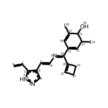 C=Cc1[nH]ncc1/C=C/N=C(/C1=CC(I)C(O)C(I)=C1)C1=CCC1